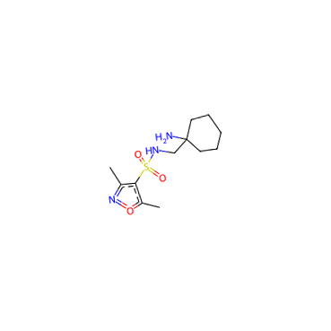 Cc1noc(C)c1S(=O)(=O)NCC1(N)CCCCC1